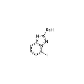 Cc1cccc2n[c]([RaH])nn12